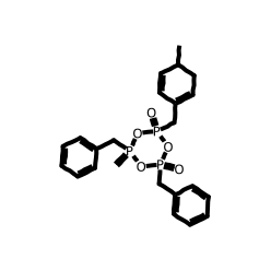 C=P1(Cc2ccccc2)OP(=O)(CC2=CCC(C)C=C2)OP(=O)(Cc2ccccc2)O1